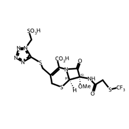 CO[C@@]1(NC(=O)CSC(F)(F)F)C(=O)N2C(C(=O)O)=C(CSc3nnnn3CS(=O)(=O)O)CS[C@@H]21